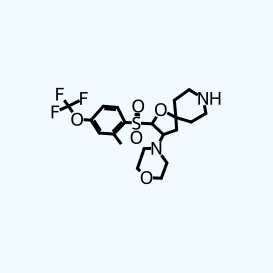 Cc1cc(OC(F)(F)F)ccc1S(=O)(=O)C1OC2(CCNCC2)CC1N1CCOCC1